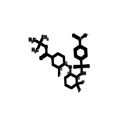 CC(C)(C)OC(=O)N1CC[C@H](O[C@H]2CCCC(F)(F)[C@@H]2NS(=O)(=O)c2ccc([N+](=O)[O-])cc2)[C@@H](F)C1